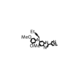 CCC#CCN(c1cc(OC)cc(OC)c1)c1ccc2ncc(-c3cnn(C)c3)nc2c1